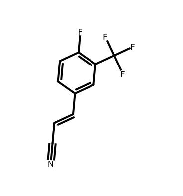 N#CC=Cc1ccc(F)c(C(F)(F)F)c1